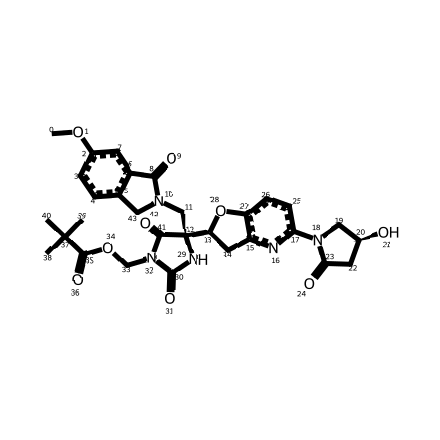 COc1ccc2c(c1)C(=O)N(C[C@@]1(C3Cc4nc(N5C[C@@H](O)CC5=O)ccc4O3)NC(=O)N(COC(=O)C(C)(C)C)C1=O)C2